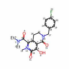 CCN(CC)C(=O)c1c2c(c(O)c(=O)n1C)C(=O)N(Cc1ccc(F)cc1)CC2